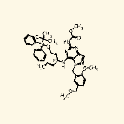 CCC[C@@H](CCO[Si](c1ccccc1)(c1ccccc1)C(C)(C)C)Nc1nc(NC(=O)OC)nc2cnn(Cc3cc(COC)ccc3OC)c12